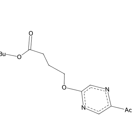 CC(=O)c1cnc(OCCCC(=O)OC(C)(C)C)cn1